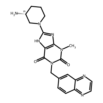 Cn1c(=O)n(Cc2ccc3nccnc3c2)c(=O)c2[nH]c(N3CCC[C@@H](N)C3)nc21